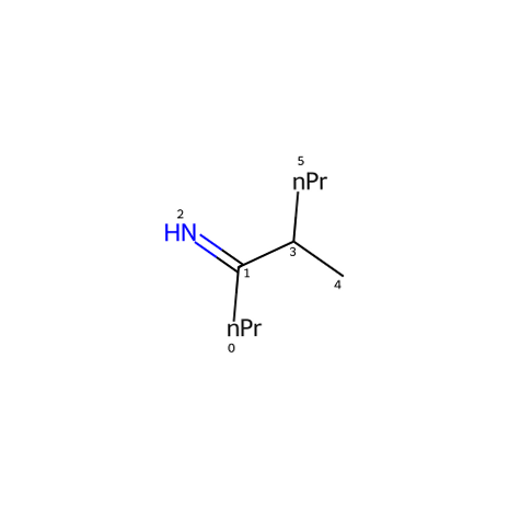 CCCC(=N)C(C)CCC